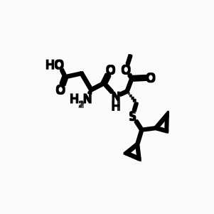 COC(=O)[C@H](CSC(C1CC1)C1CC1)NC(=O)[C@@H](N)CC(=O)O